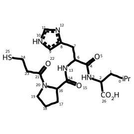 CC(C)CC(NC(=O)C(Cc1c[nH]cn1)NC(=O)C1CCCN1C(=O)CCS)C(=O)O